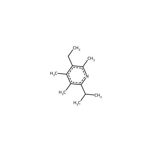 CCc1c(C)nc(C(C)C)c(C)c1C